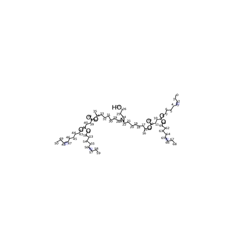 CC/C=C\CCCCOC(CCC(=O)OC(C)CCCCCCN(CCCO)CCCCCCC(C)OC(=O)CCC(OCCCC/C=C\CC)OCCCC/C=C\CC)OCCCC/C=C\CC